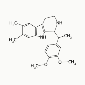 COc1ccc(C(C)C2NCCc3c2[nH]c2cc(C)c(C)cc32)cc1OC